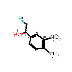 Cc1ccc(C(O)CF)cc1[N+](=O)[O-]